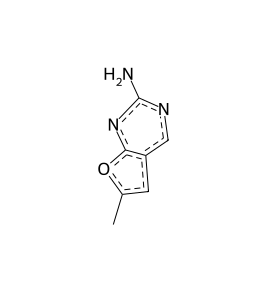 Cc1cc2cnc(N)nc2o1